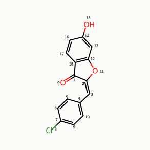 O=C1C(=Cc2ccc(Cl)cc2)Oc2cc(O)ccc21